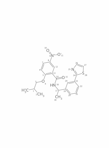 CC(C)COc1ccc([N+](=O)[O-])cc1C(=O)NC(C)c1cccc(-c2nccs2)c1